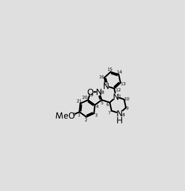 COc1ccc2c(C3CNCCN3c3ccccn3)noc2c1